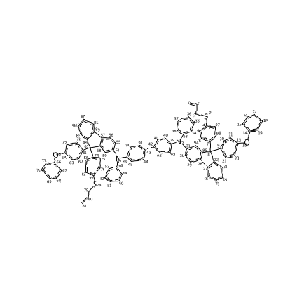 C=CCSc1ccc(C2(c3ccc(Oc4ccccc4)cc3)c3ccccc3-c3ccc(N(c4ccccc4)c4ccc(-c5ccc(N(c6ccccc6)c6ccc7c(c6)C(c6ccc(Oc8ccccc8)cc6)(c6ccc(SCC=C)cc6)c6ccccc6-7)cc5)cc4)cc32)cc1